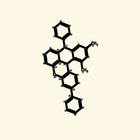 Cc1cc(C)c2c(c1)N(c1ccccc1)c1cccc3c1B2c1ccc(-c2ccccc2)cc1O3